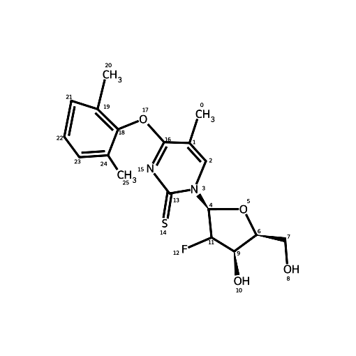 Cc1cn([C@H]2O[C@@H](CO)[C@@H](O)C2F)c(=S)nc1Oc1c(C)cccc1C